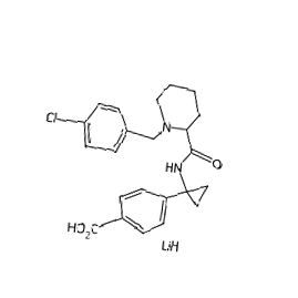 O=C(O)c1ccc(C2(NC(=O)C3CCCCN3Cc3ccc(Cl)cc3)CC2)cc1.[LiH]